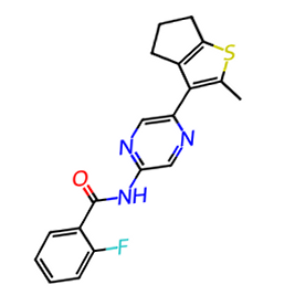 Cc1sc2c(c1-c1cnc(NC(=O)c3ccccc3F)cn1)CCC2